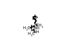 CNC1=NC(C)N=C(N(C)CCc2ccco2)N1